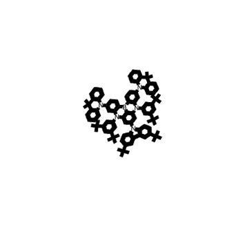 CC(C)(C)c1cc(N2c3cc(N4c5ccccc5C(C)(C)c5ccccc54)ccc3B3c4ccc(N5c6ccccc6C(C)(C)c6ccccc65)cc4N(c4cc(C(C)(C)C)cc(C(C)(C)C)c4)c4cc(-n5c6ccc(C(C)(C)C)cc6c6cc(C(C)(C)C)ccc65)cc2c43)cc(C(C)(C)C)c1